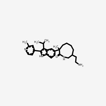 Cc1cc(-c2[nH]c3ccc(C4(C)CCCCC(CCN)CNC4=O)cc3c2C(C)C)ccn1